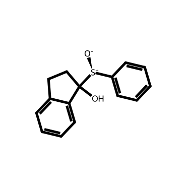 [O-][S@@+](c1ccccc1)C1(O)CCc2ccccc21